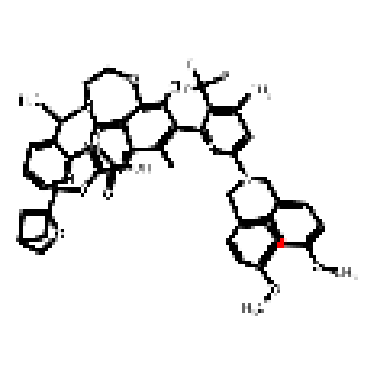 COc1ccc(CN(Cc2ccc(OC)cc2)c2cc(C)c(C(F)(F)F)c(-c3c(Cl)c4c5c(nc(OCC67CC(CO6)C7)nc5c3F)N(C(C)c3cccnc3NC(=O)O)CCO4)n2)cc1